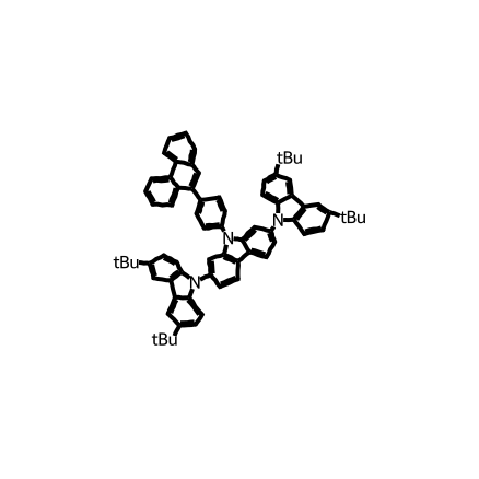 CC(C)(C)c1ccc2c(c1)c1cc(C(C)(C)C)ccc1n2-c1ccc2c3ccc(-n4c5ccc(C(C)(C)C)cc5c5cc(C(C)(C)C)ccc54)cc3n(-c3ccc(-c4cc5ccccc5c5ccccc45)cc3)c2c1